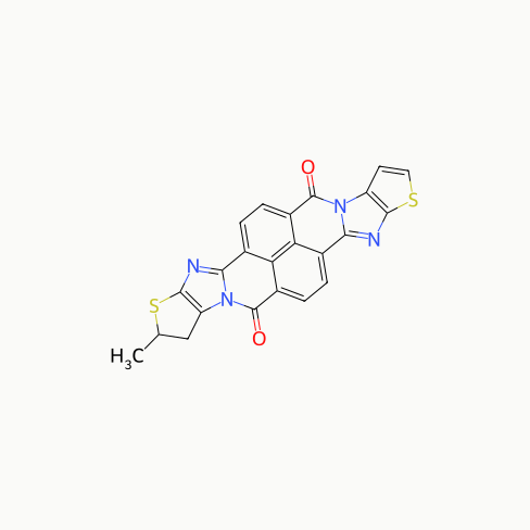 CC1Cc2c(nc3c4ccc5c(=O)n6c7ccsc7nc6c6ccc(c(=O)n23)c4c56)S1